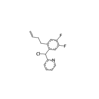 C=CCCc1cc(F)c(F)cc1C(Cl)c1ccccn1